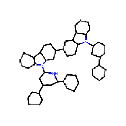 C1CCC(C2CCCC(N3C4CCCCC4C4CC(C5CCC6C7CCCCC7N(C7CC(C8CCCCC8)CC(C8CCCCC8)N7)C6C5)CCC43)C2)CC1